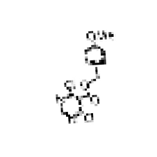 COc1ccc(COC(=O)c2c(Cl)ncnc2Cl)cc1